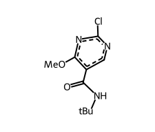 COc1nc(Cl)ncc1C(=O)NC(C)(C)C